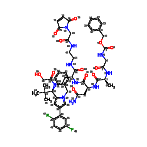 C[C@H](NC(=O)CNC(=O)OCc1ccccc1)C(=O)N[C@@H](CC(N)=O)C(=O)N[C@@H](CCN(C(=O)CO)[C@@H](c1cc(-c2cc(F)ccc2F)cn1Cc1ccccc1)C(C)(C)C)C(=O)NCCNC(=O)CN1C(=O)C=CC1=O